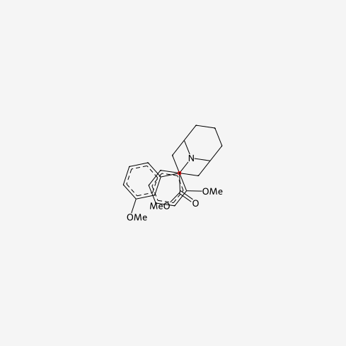 COC(=O)C1(c2cccc(OC)c2)CC2CCCC(C1)N2c1ccccc1OC